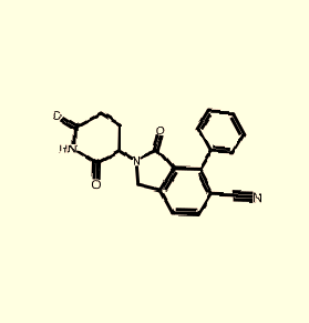 N#Cc1ccc2c(c1-c1ccccc1)C(=O)N(C1CCC(=O)NC1=O)C2